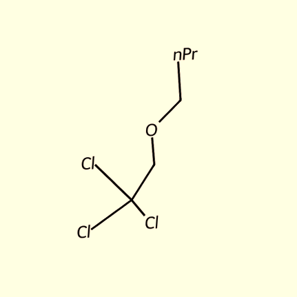 CCCCOCC(Cl)(Cl)Cl